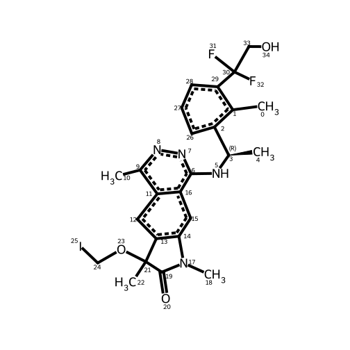 Cc1c([C@@H](C)Nc2nnc(C)c3cc4c(cc23)N(C)C(=O)C4(C)OCI)cccc1C(F)(F)CO